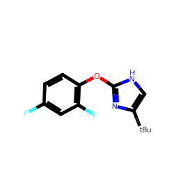 CC(C)(C)c1c[nH]c(Oc2ccc(F)cc2F)n1